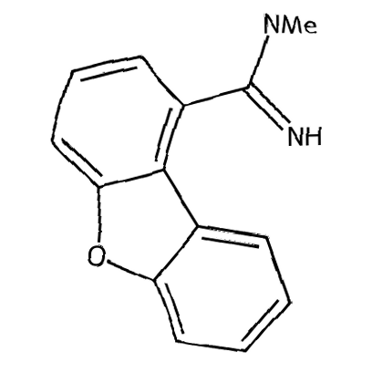 CNC(=N)c1cccc2oc3ccccc3c12